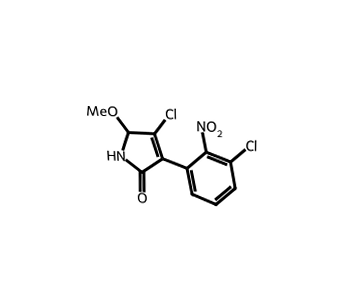 COC1NC(=O)C(c2cccc(Cl)c2[N+](=O)[O-])=C1Cl